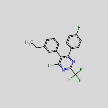 CCc1cccc(-c2c(Cl)nc(C(F)(F)F)nc2-c2ccc(F)cc2)c1